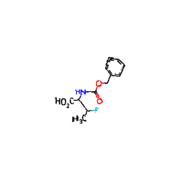 CC(F)C(NC(=O)OCc1ccccc1)C(=O)O